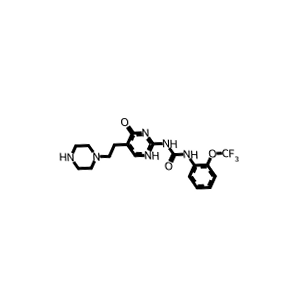 O=C(Nc1nc(=O)c(CCN2CCNCC2)c[nH]1)Nc1ccccc1OC(F)(F)F